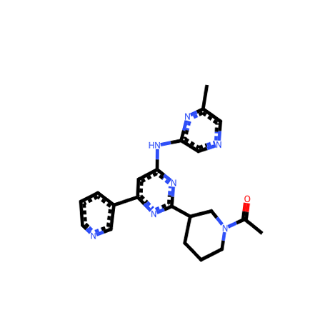 CC(=O)N1CCCC(c2nc(Nc3cncc(C)n3)cc(-c3cccnc3)n2)C1